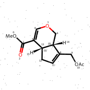 COC(=O)C1=COC[C@@H]2C(COC(C)=O)=CC[C@H]12